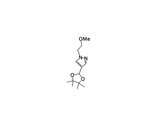 COCCn1cc(C2OC(C)(C)C(C)(C)O2)cn1